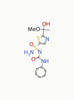 COC(C)(O)c1ncc(S(N)(=O)=NC(=O)Nc2ccccc2)s1